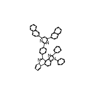 C1=CC2N=C(c3ccc(-c4nc(-c5ccc6ccccc6c5)cc(-c5ccc6ccccc6c5)n4)cc3)c3c(ccc4c3nc(-c3ccccc3)n4-c3ccccc3)C2C=C1